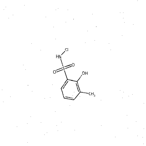 Cc1cccc(S(=O)(=O)NCl)c1O